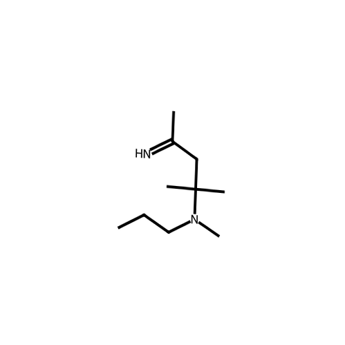 CCCN(C)C(C)(C)CC(C)=N